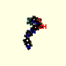 CN1CCC2(CCC(CN3CCC(n4cc5cc6c(cc5n4)C(C)(O)N6C(=O)c4cccc(C(F)(F)F)n4)CC3)CC2)CC1